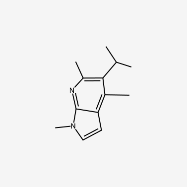 Cc1nc2c(ccn2C)c(C)c1C(C)C